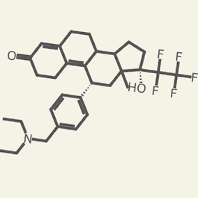 CCN(CC)Cc1ccc([C@H]2CC3(C)C(CC[C@@]3(O)C(F)(F)C(F)(F)F)C3CCC4=CC(=O)CCC4=C32)cc1